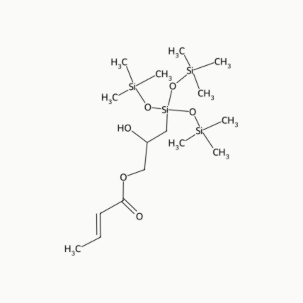 CC=CC(=O)OCC(O)C[Si](O[Si](C)(C)C)(O[Si](C)(C)C)O[Si](C)(C)C